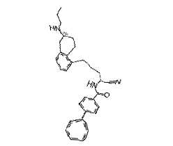 CCCN[C@H]1CCc2c(CCCC(C#N)NC(=O)c3ccc(-c4ccccc4)cc3)cccc2C1